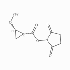 CCCO[C@@H]1C[C@H]1C(=O)ON1C(=O)CCC1=O